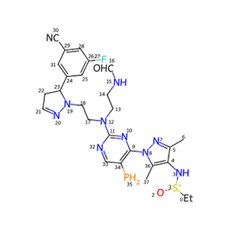 CC[S+]([O-])Nc1c(C)nn(-c2nc(N(CCNC=O)CCN3N=CCC3c3cc(F)cc(C#N)c3)ncc2P)c1C